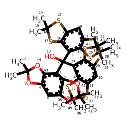 CC1(C)Oc2cc3c(c(C(O)(c4c5c(cc6c4SC(C)(C)S6)SC(C)(C)S5)c4c5c(cc6c4SC(C)(C)S6)SC(C)(C)S5)c2O1)OC(C)(C)O3